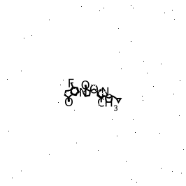 Cc1cc(OC2CCN(c3cc(F)c4c(c3)C(=O)CC4)C2=O)cnc1OCC1CC1